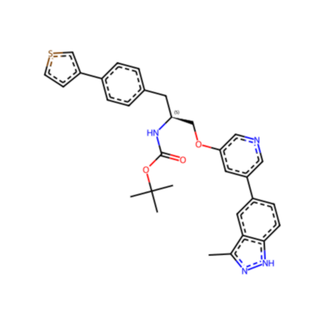 Cc1n[nH]c2ccc(-c3cncc(OC[C@H](Cc4ccc(-c5ccsc5)cc4)NC(=O)OC(C)(C)C)c3)cc12